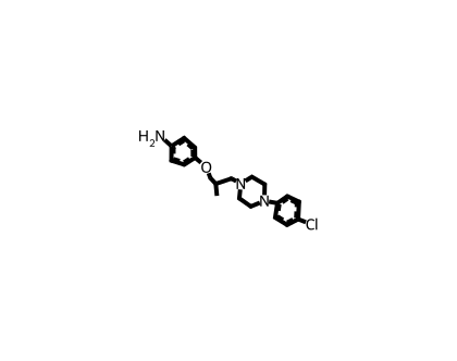 CC(COc1ccc(N)cc1)CN1CCN(c2ccc(Cl)cc2)CC1